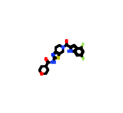 O=C(Nc1nc2c(s1)CN(C(=O)c1cc3c(F)cc(F)cc3[nH]1)CC2)C1CCOCC1